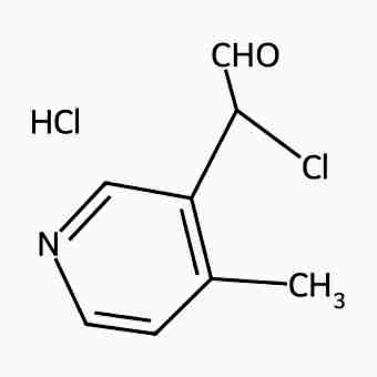 Cc1ccncc1C(Cl)C=O.Cl